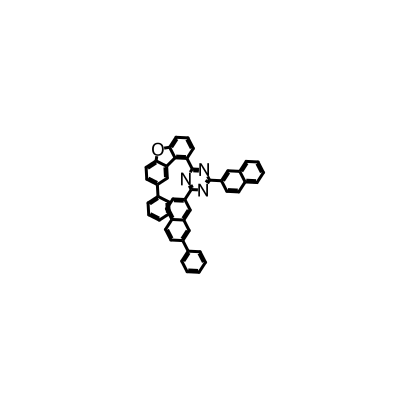 c1ccc(-c2ccc3ccc(-c4nc(-c5ccc6ccccc6c5)nc(-c5cccc6oc7ccc(-c8ccccc8)cc7c56)n4)cc3c2)cc1